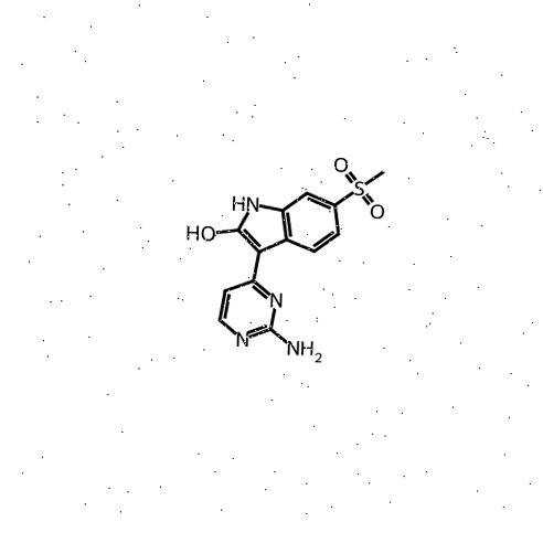 CS(=O)(=O)c1ccc2c(-c3ccnc(N)n3)c(O)[nH]c2c1